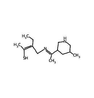 CC/C(C/N=C(\C)C1CNCC(C)C1)=C(\C)S